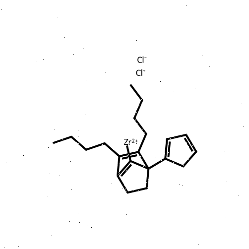 CCCCC1=C(CCCC)C2(C3=CC=CC3)CCC1=[C]2[Zr+2].[Cl-].[Cl-]